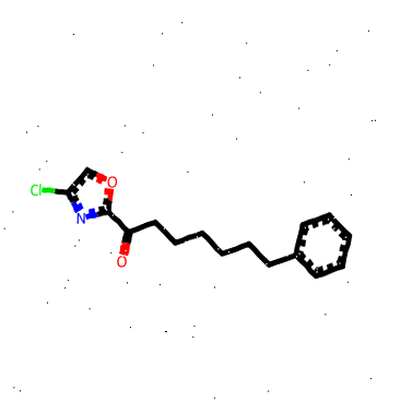 O=C(CCCCCCc1ccccc1)c1nc(Cl)co1